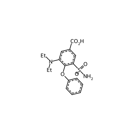 CCN(CC)c1cc(C(=O)O)cc(S(N)(=O)=O)c1Oc1ccccc1